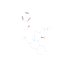 CC(=O)N[C@H](CSC(=O)c1ccccc1)C(=O)C1NC(OC(=O)O)CC2CCCCC21